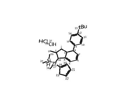 CC1CC2C(=CC=CC2c2ccc(C(C)(C)C)cc2)[CH]1[Zr]([CH3])([C]1=CC=CC1)[SiH](C)C.Cl.Cl